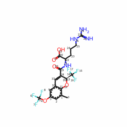 Cc1cc(OC(F)(F)F)cc2c1O[C@H](C(F)(F)F)C(C(=O)NC(CCCNC(=N)N)C(=O)O)=C2